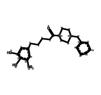 O=C(CCCCc1cc(O)c(O)c([N+](=O)[O-])c1)N1CCN(Cc2ccccc2)CC1